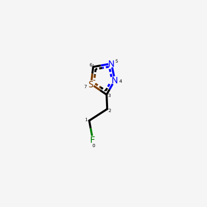 FCCc1nn[c]s1